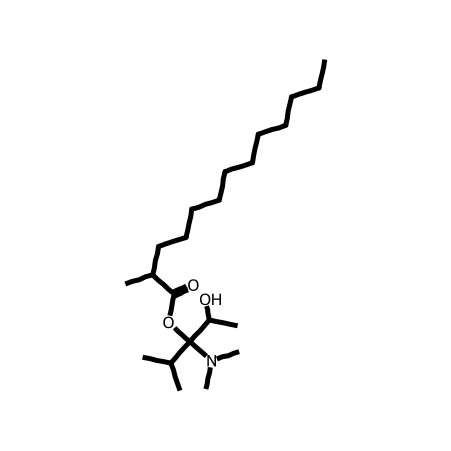 CCCCCCCCCCCC(C)C(=O)OC(C(C)C)(C(C)O)N(C)C